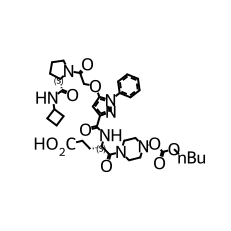 CCCCOC(=O)ON1CCN(C(=O)[C@H](CCC(=O)O)NC(=O)c2cc(OCC(=O)N3CCC[C@H]3C(=O)NC3CCC3)n(-c3ccccc3)n2)CC1